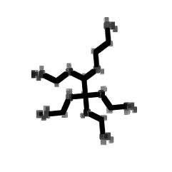 CCCOC(OCC)C(OCC)(OCC)OCC